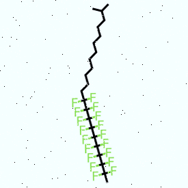 CC(C)CCCCCCCCCCC(F)(F)C(F)(F)C(F)(F)C(F)(F)C(F)(F)C(F)(F)C(F)(F)C(F)(F)C(C)(F)F